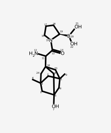 CC12CC3(C)CC(O)(C1)CC(C(N)C(=O)N1CCC[C@H]1B(O)O)(C2)C3